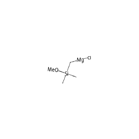 CO[Si](C)(C)[CH2][Mg][Cl]